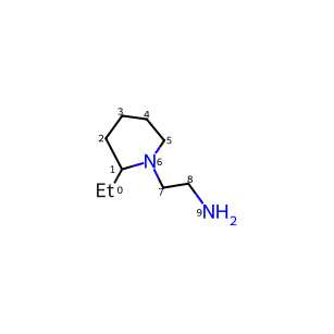 CCC1CCCCN1CCN